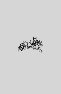 Cc1cc(NC(=O)C2NCCC2C(C)C)ccc1-c1cnco1